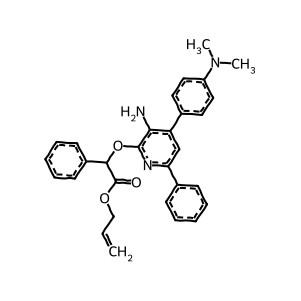 C=CCOC(=O)C(Oc1nc(-c2ccccc2)cc(-c2ccc(N(C)C)cc2)c1N)c1ccccc1